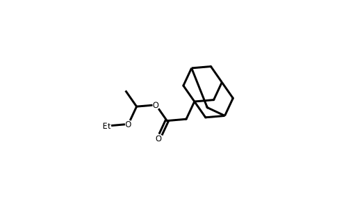 CCOC(C)OC(=O)CC12CC3CC(CC(C3)C1)C2